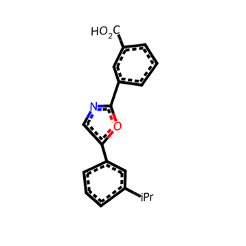 CC(C)c1cccc(-c2cnc(-c3cccc(C(=O)O)c3)o2)c1